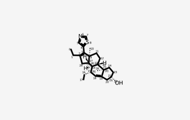 CCC1=C(c2cncs2)[C@@]2(C)CC[C@H]3[C@@H]([C@@H](CC)C=C4C[C@@H](O)CC[C@@]43C)[C@@H]2C1